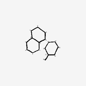 C1CCC2CCCCC2C1.CC1CCCCC1